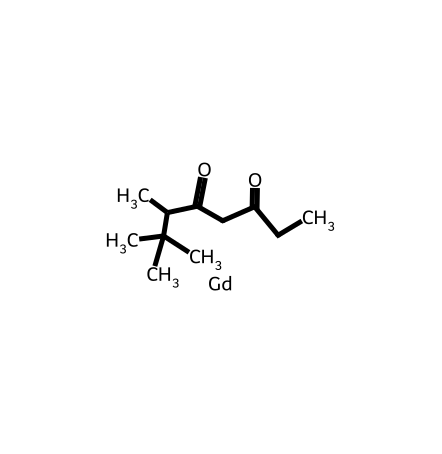 CCC(=O)CC(=O)C(C)C(C)(C)C.[Gd]